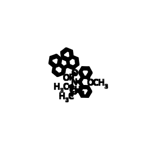 COc1ccccc1C(c1ccccc1OC)N(C(C)C)p1oc2ccc3ccccc3c2c2c(ccc3ccccc32)o1